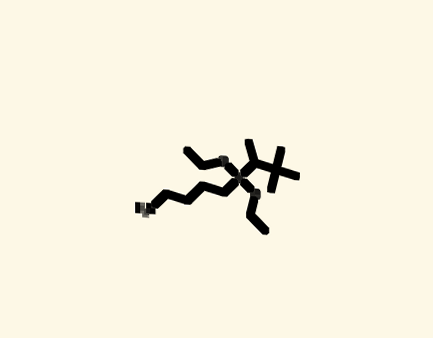 CCO[Si](CCCCN)(OCC)C(C)C(C)(C)C